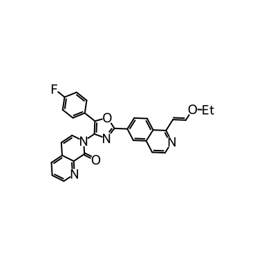 CCOC=Cc1nccc2cc(-c3nc(-n4ccc5cccnc5c4=O)c(-c4ccc(F)cc4)o3)ccc12